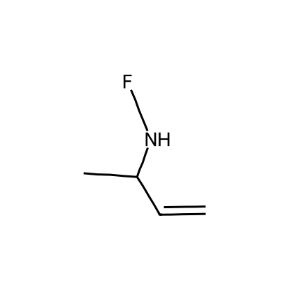 C=CC(C)NF